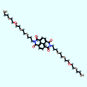 O=C1c2ccc3c4c(ccc(c24)C(=O)N1CCCSCCSCCOCCSCCS)C(=O)N(CCCSCCSCCOCCSCCS)C3=O